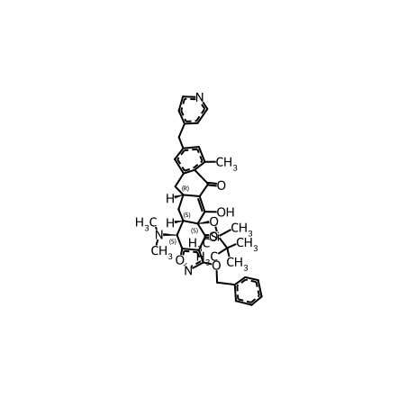 Cc1cc(Cc2ccncc2)cc2c1C(=O)C1=C(O)[C@]3(O[Si](C)(C)C(C)(C)C)C(=O)c4c(OCc5ccccc5)noc4[C@@H](N(C)C)[C@@H]3C[C@@H]1C2